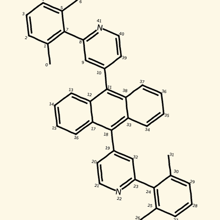 Cc1cccc(C)c1-c1cc(-c2c3ccccc3c(-c3ccnc(-c4c(C)cccc4C)c3)c3ccccc23)ccn1